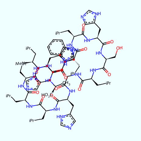 CN[C@@H](CC(C)C)C(=O)N[C@@H](Cc1cnc[nH]1)C(=O)N[C@@H](CC(C)C)C(=O)N[C@@H](CC(C)C)C(=O)N[C@@H](Cc1cnc[nH]1)C(=O)N[C@@H](CO)C(=O)N[C@@H](CC(C)C)C(=O)N[C@@H](Cc1c[nH]c2ccccc12)C(=O)N[C@@H](Cc1cnc[nH]1)C(=O)N[C@@H](CC(C)C)C(=O)N[C@@H](CC(C)C)C(=O)N[C@@H](CC(C)C)C(=O)N[C@@H](Cc1cnc[nH]1)C(=O)N[C@@H](C)C(=O)O